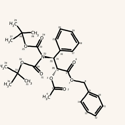 CC(=O)O[C@@H](C(=O)OCc1ccccc1)[C@H](c1ccccc1)N(C(=O)OC(C)(C)C)C(=O)OC(C)(C)C